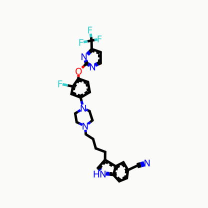 N#Cc1ccc2[nH]cc(CCCCN3CCN(c4ccc(Oc5nccc(C(F)(F)F)n5)c(F)c4)CC3)c2c1